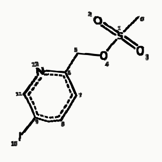 CS(=O)(=O)OCc1ccc(I)cn1